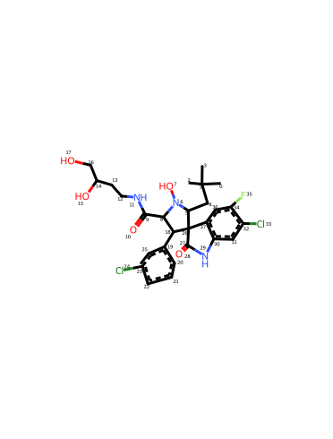 CC(C)(C)CC1N(O)C(C(=O)NCCC(O)CO)C(c2cccc(Cl)c2)C12C(=O)Nc1cc(Cl)c(F)cc12